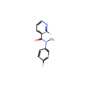 CN(C(=O)c1cccnc1F)c1ccc(F)cc1